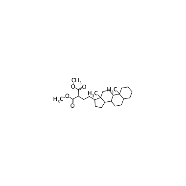 COC(=O)C(CCC1CCC2C3CCC4CCCCC4(C)C3CCC12C)C(=O)OC